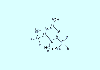 CCCC(C)(C)c1cc(O)cc(C(C)(C)CCC)c1O